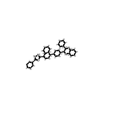 c1ccc(-c2nnc(-c3ccc(-c4ccc(-c5nc6ccccc6nc5-c5ccccc5)cc4)c4ccccc34)o2)cc1